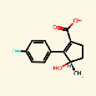 C[C@]1(O)CCC(C(=O)O)=C1c1ccc(F)cc1